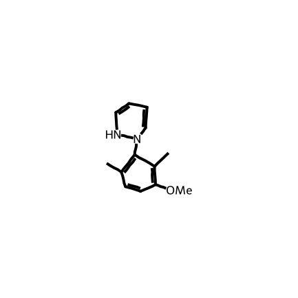 COc1ccc(C)c(N2C=CC=CN2)c1C